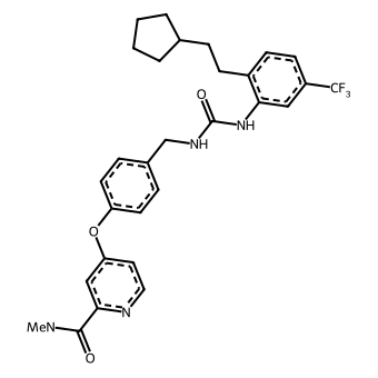 CNC(=O)c1cc(Oc2ccc(CNC(=O)Nc3cc(C(F)(F)F)ccc3CCC3CCCC3)cc2)ccn1